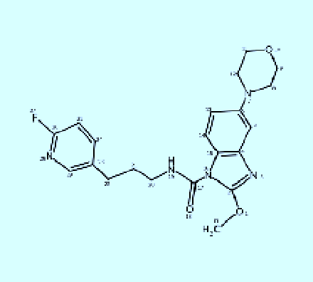 COc1nc2cc(N3CCOCC3)ccc2n1C(=O)NCCCc1ccc(F)nc1